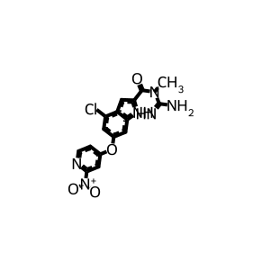 CN(C(=N)N)C(=O)c1cc2c(Cl)cc(Oc3ccnc([N+](=O)[O-])c3)cc2[nH]1